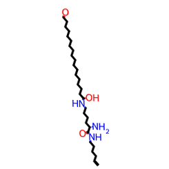 C=CCCCCNC(=O)[C@@H](N)CCCCNC(O)CCCCCCCCCCCCCCCCC=O